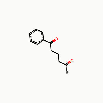 CC(C)C(=O)CCCC(=O)c1ccccc1